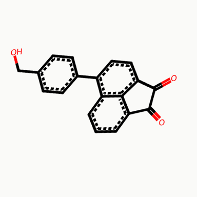 O=C1C(=O)c2ccc(-c3ccc(CO)cc3)c3cccc1c23